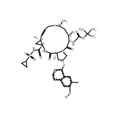 CCOc1cc2ccnc(O[C@@H]3C[C@H]4C(=O)N[C@]5(C(=O)NS(=O)(=O)C6CC6)C[C@H]5/C=C\CC[C@@H](C)C[C@@H](CC)[C@H](NC(=O)OC(C)(C)C(F)(F)F)C(=O)N4C3)c2cc1F